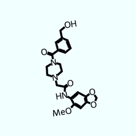 COc1cc2c(cc1NC(=O)CN1CCN(C(=O)c3cccc(CO)c3)CC1)OCO2